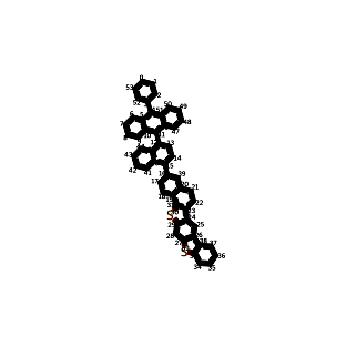 c1ccc(-c2c3ccccc3c(-c3ccc(-c4ccc5c(ccc6c7cc8c(cc7sc56)sc5ccccc58)c4)c4ccccc34)c3ccccc23)cc1